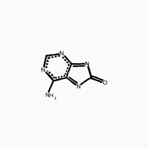 Nc1ncnc2c1=NC(=O)N=2